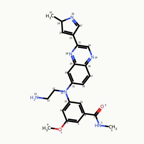 CNC(=O)c1cc(OC)cc(N(CCN)c2ccc3ncc(C4=CC(C)N=C4)nc3c2)c1